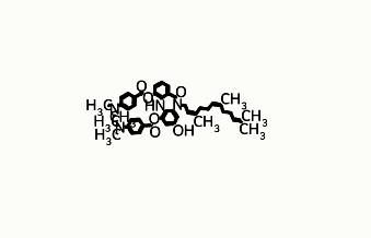 CC(C)=CCCC(C)=CCCC(C)=CCN1C(=O)c2cccc(OC(=O)c3ccc(N(C)C)cc3)c2Nc2c(OC(=O)c3ccc(N(C)C)cc3)cc(O)cc21